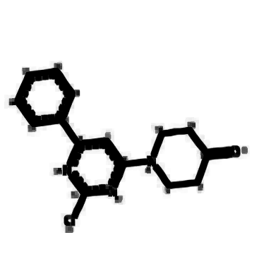 O=C1CCN(c2cc(-c3ccccc3)nc(Cl)n2)CC1